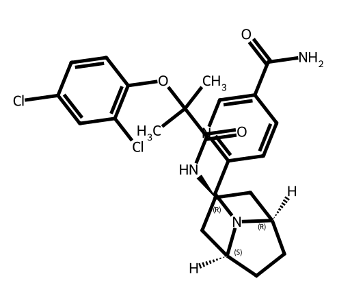 CC(C)(Oc1ccc(Cl)cc1Cl)C(=O)N[C@H]1C[C@H]2CC[C@@H](C1)N2Cc1ccc(C(N)=O)cn1